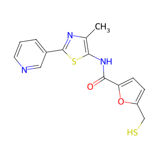 Cc1nc(-c2cccnc2)sc1NC(=O)c1ccc(CS)o1